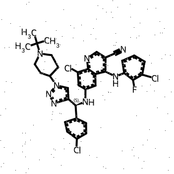 CC(C)(C)N1CCC(n2cc([C@@H](Nc3cc(Cl)c4ncc(C#N)c(Nc5cccc(Cl)c5F)c4c3)c3ccc(Cl)cc3)nn2)CC1